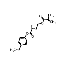 C=C(C)C(=O)OCCNC(=O)Oc1ccc(CC)cc1